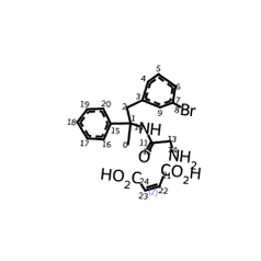 CC(Cc1cccc(Br)c1)(NC(=O)CN)c1ccccc1.O=C(O)/C=C\C(=O)O